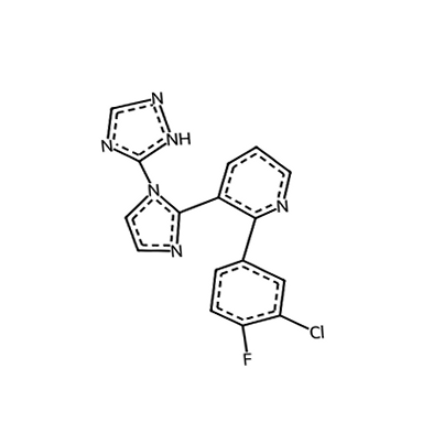 Fc1ccc(-c2ncccc2-c2nccn2-c2ncn[nH]2)cc1Cl